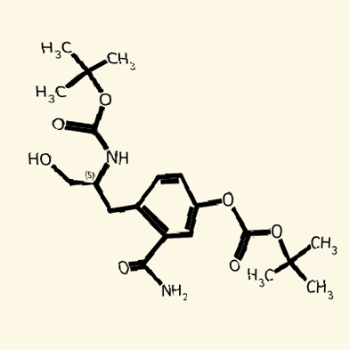 CC(C)(C)OC(=O)N[C@H](CO)Cc1ccc(OC(=O)OC(C)(C)C)cc1C(N)=O